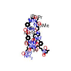 CC[C@H](C)[C@@H]([C@@H](CC(=O)N1CCC[C@H]1[C@H](OC)[C@@H](C)C(=O)N[C@@H](Cc1ccccc1)C(=O)OC)OC)N(C)C(=O)[C@H](CC(C)C)NC(=O)[C@H](C(C)C)N(C)Cc1cccc(NC(=O)OCc2ccc(NC(=O)[C@H](CCCNC(N)=O)NC(=O)[C@@H](NC(=O)CCCCCN3C(=O)CC(C)C3=O)C(C)C)cc2)c1